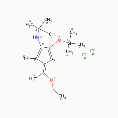 CCOC(C)=C1C=C(O[Si](C)(C)C)C(NC(C)(C)C)=[C]1[Ti+2].[Cl-].[Cl-]